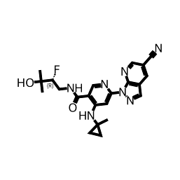 CC1(Nc2cc(-n3ncc4cc(C#N)cnc43)ncc2C(=O)NC[C@@H](F)C(C)(C)O)CC1